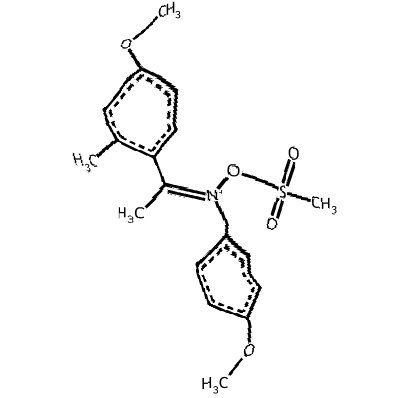 COc1ccc(/[N+](OS(C)(=O)=O)=C(\C)c2ccc(OC)cc2C)cc1